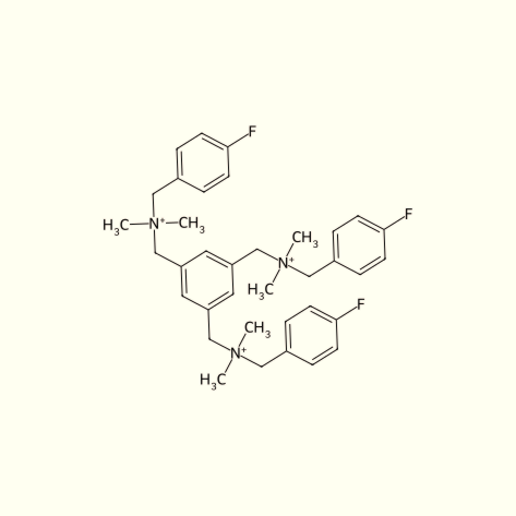 C[N+](C)(Cc1ccc(F)cc1)Cc1cc(C[N+](C)(C)Cc2ccc(F)cc2)cc(C[N+](C)(C)Cc2ccc(F)cc2)c1